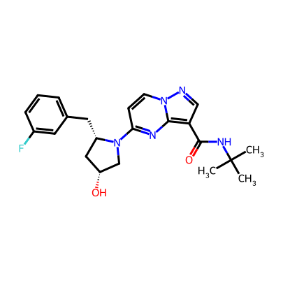 CC(C)(C)NC(=O)c1cnn2ccc(N3C[C@H](O)C[C@@H]3Cc3cccc(F)c3)nc12